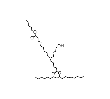 CCCCCCCCC(CCCCCCCC)OC(=O)CCCCN(CCCCO)CCCCCCCCC(=O)OCCCCC